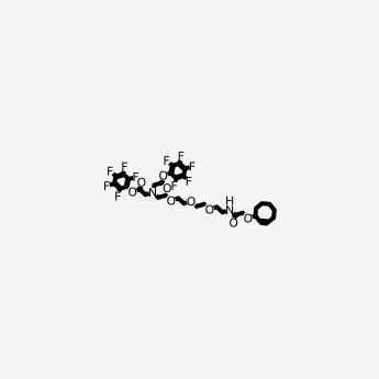 O=C(COC1C#CCCCCC1)NCCOCCOCCOCCN(CC(=O)Oc1c(F)c(F)c(F)c(F)c1F)CC(=O)Oc1c(F)c(F)c(F)c(F)c1F